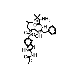 COC(=O)Nc1nc2cc(S(=O)(=O)N(CC(C)C)C[C@@H](O)[C@H](Cc3ccccc3)NC(=O)[C@@H](N)C(C)(C)C)ccc2[nH]1